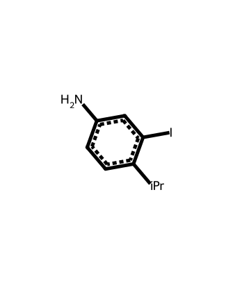 CC(C)c1ccc(N)cc1I